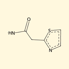 [NH]C(=O)Cc1nccs1